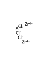 [Al+3].[Cl-].[Cl-].[Cl-].[Zr+4].[Zr+4]